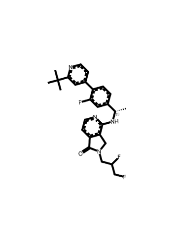 C[C@H](Nc1nccc2c1CN(CC(F)CF)C2=O)c1ccc(-c2ccnc(C(C)(C)C)c2)c(F)c1